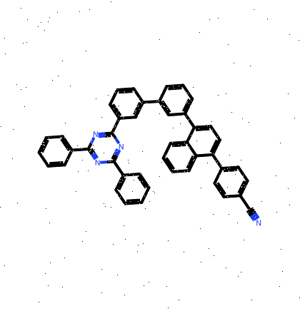 N#Cc1ccc(-c2ccc(-c3cccc(-c4cccc(-c5nc(-c6ccccc6)nc(-c6ccccc6)n5)c4)c3)c3ccccc23)cc1